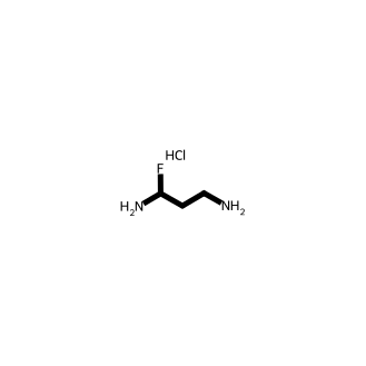 Cl.NCCC(N)F